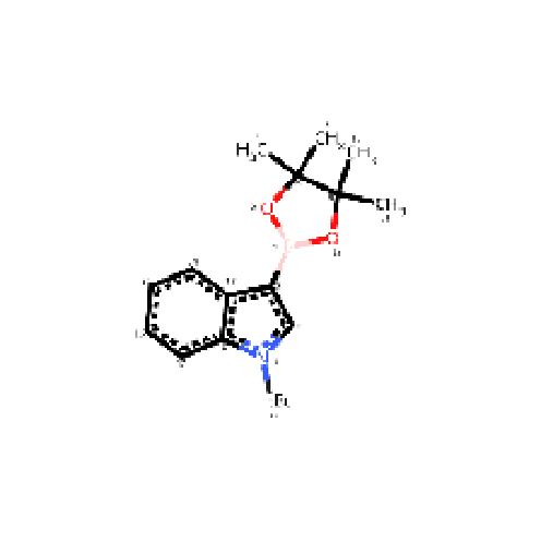 CC(C)(C)n1cc(B2OC(C)(C)C(C)(C)O2)c2ccccc21